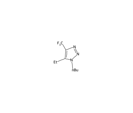 CCCCn1nnc(C(F)(F)F)c1CC